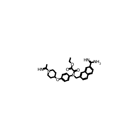 CCOC(=O)C(=O)N(Cc1ccc2ccc(C(=N)N)cc2c1)c1ccc(OC2CCN(C(C)=N)CC2)cc1